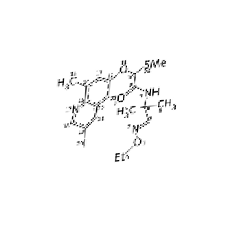 CCON=CC(C)(C)NC(=O)C(Oc1cc(C)c2ncc(I)cc2c1)SC